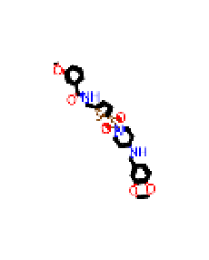 COc1cccc(C(=O)NCc2ccc(S(=O)(=O)N3CCC(NCc4ccc5c(c4)OCCO5)CC3)s2)c1